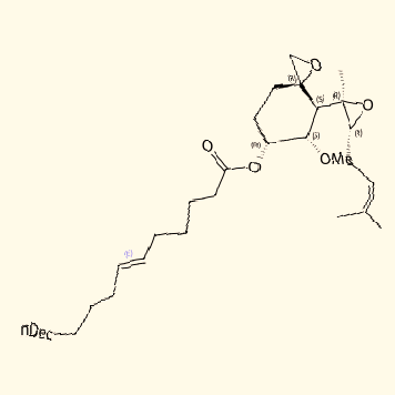 CCCCCCCCCCCCC/C=C/CCCCC(=O)O[C@@H]1CC[C@]2(CO2)[C@@H]([C@@]2(C)O[C@@H]2CC=C(C)C)[C@@H]1OC